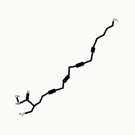 CCCCCC#CCC#CCC#CCC#CCCC(CC)C(=O)NO